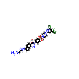 NCCCNC1CCc2cc(C(=O)Nc3ccc(S(=O)(=O)N4CCN(c5cc(C(F)(F)F)cc(Cl)n5)CC4)cc3)ccc21